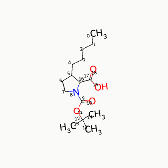 CCCCCC1CCN(C(=O)OC(C)(C)C)C1C(=O)O